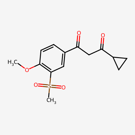 COc1ccc(C(=O)CC(=O)C2CC2)cc1S(C)(=O)=O